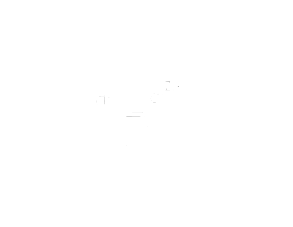 C1=CCC=C1.[Cl-].[Cl-].[Zr+2]